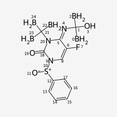 BC(B)(O)/N=c1\c(F)cn([S+]([O-])c2ccccc2)c(=O)n1C(B)(B)B